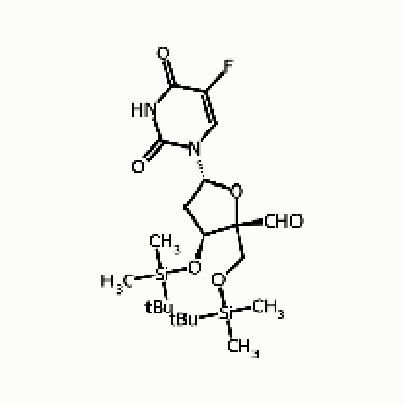 CC(C)(C)[Si](C)(C)OC[C@@]1(C=O)O[C@@H](n2cc(F)c(=O)[nH]c2=O)C[C@@H]1O[Si](C)(C)C(C)(C)C